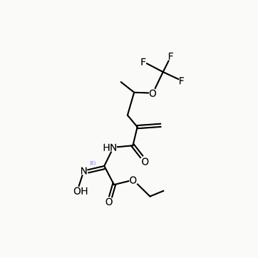 C=C(CC(C)OC(F)(F)F)C(=O)N/C(=N/O)C(=O)OCC